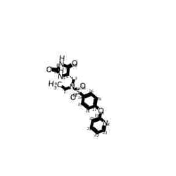 CCN(C[C@@H]1NC(=O)NC1=O)S(=O)(=O)c1ccc(Oc2ccccn2)cc1